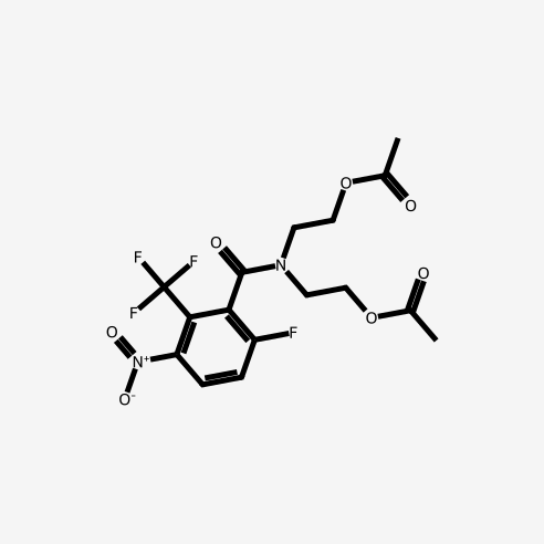 CC(=O)OCCN(CCOC(C)=O)C(=O)c1c(F)ccc([N+](=O)[O-])c1C(F)(F)F